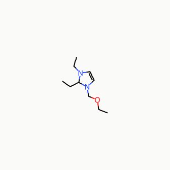 CCOCN1C=CN(CC)C1CC